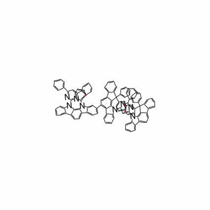 c1ccc(-c2cc(-c3ccccc3)nc(-n3c4ccccc4c4ccc5c6ccc(-c7cc8c(c9c7c7ccccc7n9-c7cc(-n9c%10ccccc%10c%10ccc%11c(c%109)C(c9ccccc9)(c9ccccc9)c9ccccc9-%11)nc(-c9ccccc9)n7)C(c7ccccc7)(c7ccccc7)c7ccccc7-8)cc6n(-c6ccccc6)c5c43)n2)cc1